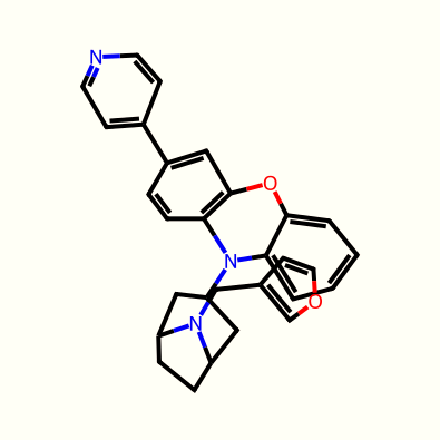 c1ccc2c(c1)Oc1cc(-c3ccncc3)ccc1N2C1CC2CCC(C1)N2Cc1ccoc1